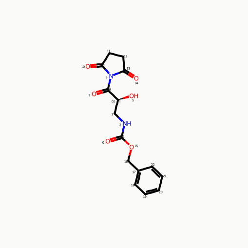 O=C(NC[C@H](O)C(=O)N1C(=O)CCC1=O)OCc1ccccc1